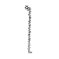 OCCOCCOCCOCCOCCOCCOCCOCCOCCOCCOCCOCCOc1ccc2ccccc2c1